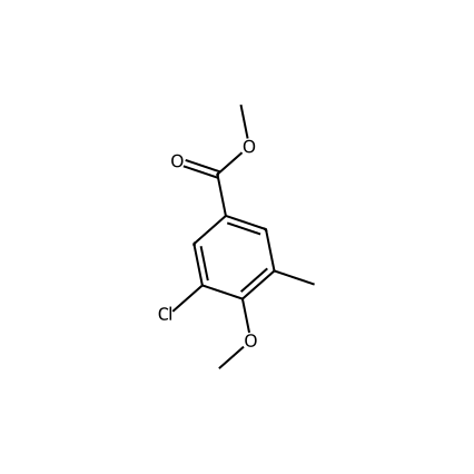 COC(=O)c1cc(C)c(OC)c(Cl)c1